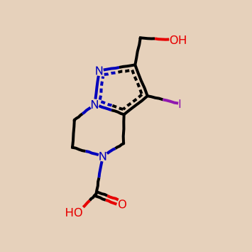 O=C(O)N1CCn2nc(CO)c(I)c2C1